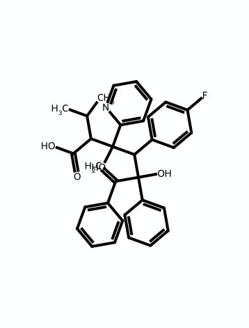 C=C(c1ccccc1)C(O)(c1ccccc1)C(c1ccc(F)cc1)C(O)(c1ccccn1)C(C(=O)O)C(C)C